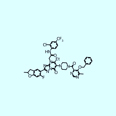 CCc1c(N2CCN(C(=O)c3ncnc(C)c3OCc3ccccc3)CC2)c(=O)n2nc(-c3cc4c(cc3F)OC(C)C4)nc2n1CC(=O)Nc1ccc(C(F)(F)F)cc1Cl